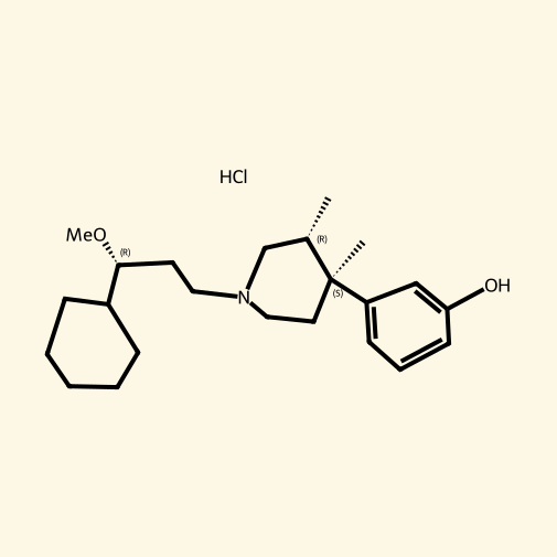 CO[C@H](CCN1CC[C@](C)(c2cccc(O)c2)[C@@H](C)C1)C1CCCCC1.Cl